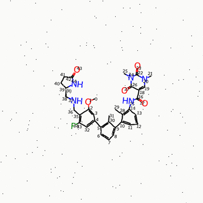 COc1cc(-c2cccc(-c3cccc(NC(=O)c4cn(C)c(=O)n(C)c4=O)c3C)c2C)cc(F)c1CNC[C@H]1CCC(=O)N1